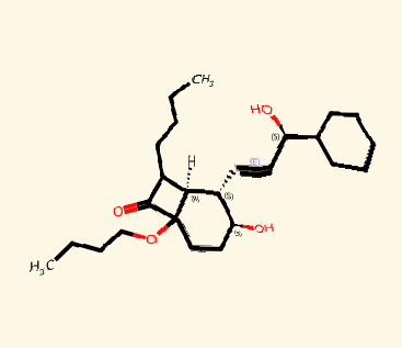 CCCCOC12CC[C@H](O)[C@@H](/C=C/[C@@H](O)C3CCCCC3)[C@@H]1C(CCCC)C2=O